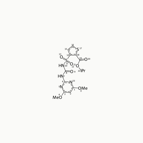 COc1cc(OC)nc(NC(=O)NS(=O)(=O)c2ccsc2C(=O)OC(C)C)n1